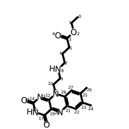 CCOC(=O)CCCNCCn1c2nc(=O)[nH]c(=O)c-2nc2cc(C)c(C)cc21